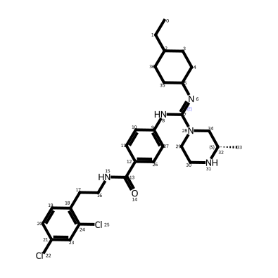 CCC1CCC(/N=C(\Nc2ccc(C(=O)NCCc3ccc(Cl)cc3Cl)cc2)N2CCN[C@@H](C)C2)CC1